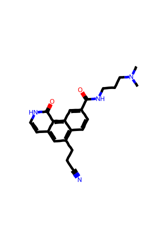 CN(C)CCCNC(=O)c1ccc2c(CCC#N)cc3cc[nH]c(=O)c3c2c1